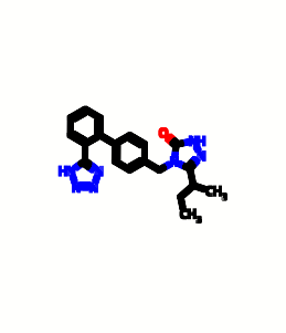 CCC(C)c1n[nH]c(=O)n1Cc1ccc(-c2ccccc2-c2nnn[nH]2)cc1